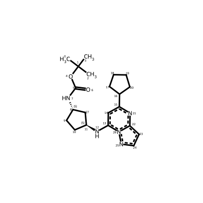 CC(C)(C)OC(=O)N[C@H]1CC[C@H](Nc2cc(C3CCCC3)nc3ccnn23)C1